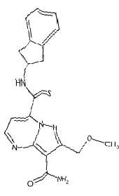 COCc1nn2c(C(=S)NC3Cc4ccccc4C3)ccnc2c1C(N)=O